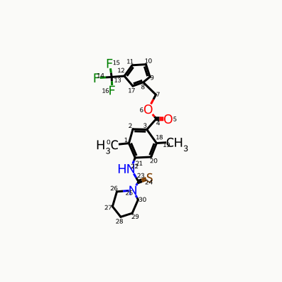 Cc1cc(C(=O)OCc2cccc(C(F)(F)F)c2)c(C)cc1NC(=S)N1CCCCC1